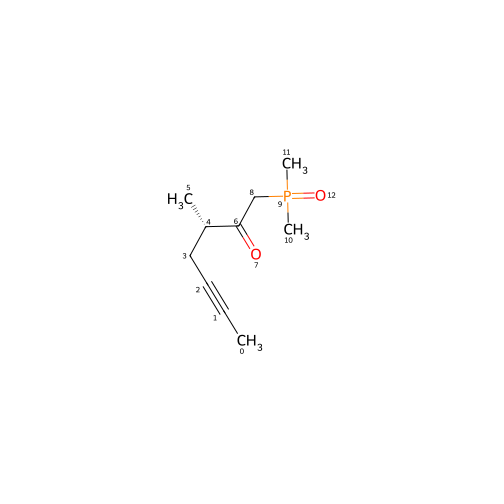 CC#CC[C@H](C)C(=O)CP(C)(C)=O